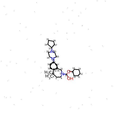 CC1(C)CCN(C(O)OC2CCCCC2)Cc2cc(N3CCN(C4CCCC4)CC3)ccc21